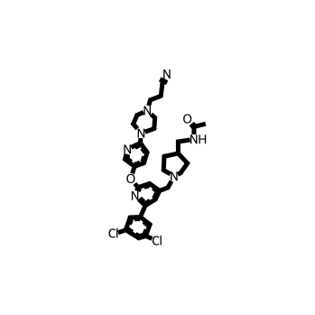 CC(=O)NCC1CCN(Cc2cc(Oc3ccc(N4CCN(CCC#N)CC4)nc3)nc(-c3cc(Cl)cc(Cl)c3)c2)CC1